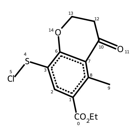 CCOC(=O)c1cc(SCl)c2c(c1C)C(=O)CCO2